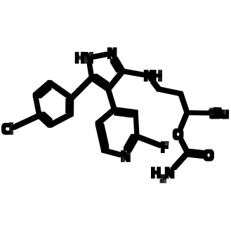 CC(C)(C)C(CCNc1n[nH]c(-c2ccc(Cl)cc2)c1-c1ccnc(F)c1)OC(N)=O